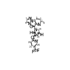 Cc1ccc(-n2nccn2)c(C(=O)N2C[C@H]3C[C@@H](Oc4ccc(C(F)F)cn4)[C@@H]2C3)n1